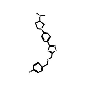 CN(C)C1CCN(c2ccc(-c3noc(COCc4ccc(F)cc4)n3)cc2)C1